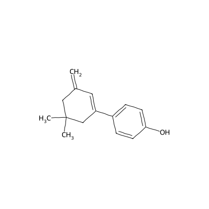 C=C1C=C(c2ccc(O)cc2)CC(C)(C)C1